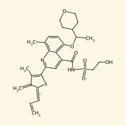 C=C/C=c1/sc(-c2cc(C(=O)NS(=O)(=O)CCO)c3c(OC(C)C4CCOCC4)ccc(C)c3n2)c(C)c1=C